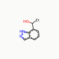 CCC(O)c1cccc2cn[nH]c12